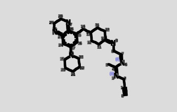 C#CC/N=C(C)\N=C/CN=C1CCC(Cc2cc(N3CCCCC3)cc3c2=NCCN=3)CC1